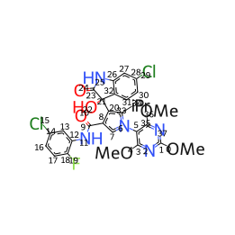 COc1nc(OC)c(-n2cc(C(=O)Nc3cc(Cl)ccc3F)c(C3(O)C(=O)Nc4cc(Cl)ccc43)c2C(C)C)c(OC)n1